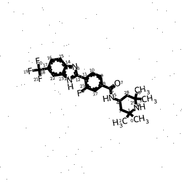 CC1(C)CC(NC(=O)c2ccc(-c3nc4ccc(C(F)(F)F)cc4[nH]3)c(F)c2)CC(C)(C)N1